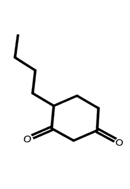 CCCCC1CCC(=O)CC1=O